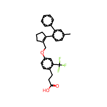 Cc1ccc(C2=C(COc3ccc(CCC(=O)O)c(C(F)(F)F)c3)CCC2)c(-c2ccccc2)c1